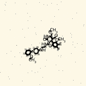 COCC1=C(C(=O)OC)C(c2ccc(F)c(F)c2)N(C(=O)NCCNC2CCN(c3ccccc3OC)CC2)C(=O)N1